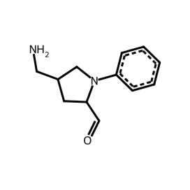 NCC1CC(C=O)N(c2ccccc2)C1